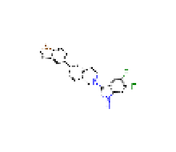 Fc1cc2[nH]cc(N3CCc4cc(-c5ccc6sccc6c5)ccc4C3)c2cc1F